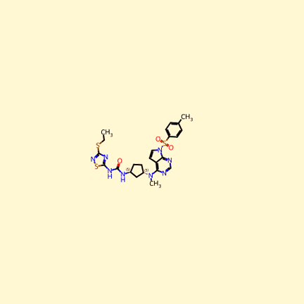 CCSc1nsc(NC(=O)N[C@H]2CC[C@H](N(C)c3ncnc4c3ccn4S(=O)(=O)c3ccc(C)cc3)C2)n1